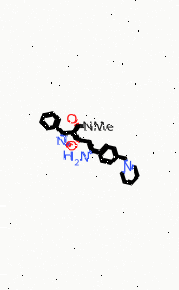 CNC(=O)c1c(-c2ccccc2)noc1/C=C(\N)c1ccc(CN2CCCCC2)cc1